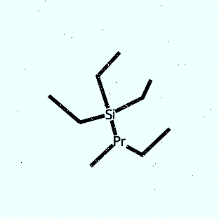 C[CH2][Pr]([CH3])[Si](CC)(CC)CC